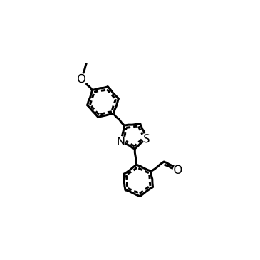 COc1ccc(-c2csc(-c3ccccc3C=O)n2)cc1